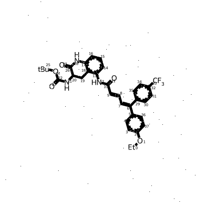 CCOc1ccc(C(=CC=CC(=O)Nc2cccc3c2CC(NC(=O)OC(C)(C)C)C(=O)N3)c2ccc(C(F)(F)F)cc2)cc1